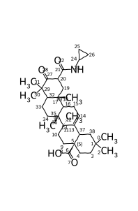 CC1(C)CC[C@]2(C(=O)O)CC[C@]3(C)C(=CCC4[C@@]5(C)CC(C(=O)NC6CC6)C(=O)C(C)(C)C5CC[C@]43C)C2C1